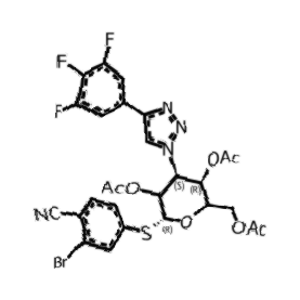 CC(=O)OCC1O[C@H](Sc2ccc(C#N)c(Br)c2)C(OC(C)=O)[C@@H](n2cc(-c3cc(F)c(F)c(F)c3)nn2)[C@H]1OC(C)=O